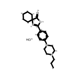 CCCN1CCN(c2ccc(C3=NC4(CCCCC4)C(=O)O3)cc2)CC1.Cl